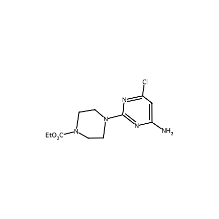 CCOC(=O)N1CCN(c2nc(N)cc(Cl)n2)CC1